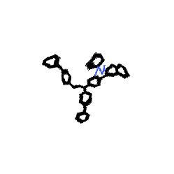 c1ccc(-c2ccc(CCC(c3ccc(-c4ccccc4)cc3)c3ccc4c5cc6ccccc6cc5n(-c5ccccc5)c4c3)cc2)cc1